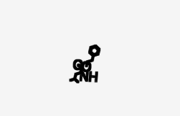 CC(C)CC(=N)C(=O)OCCc1ccccc1